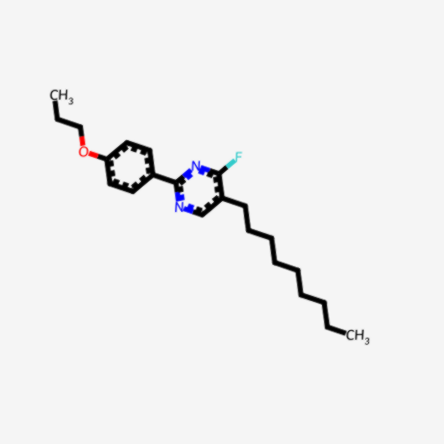 CCCCCCCCCc1cnc(-c2ccc(OCCC)cc2)nc1F